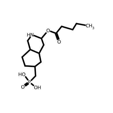 CCCCC(=O)OC1CC2CC(CP(=O)(O)O)CCC2CN1